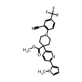 COC(=O)C1(c2ccc(-c3cccn3C)nc2)CCN(c2ccc(C(F)(F)F)cc2C#N)CC1